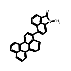 CN1C(=O)c2cccc3c(-c4ccc5c6cccc7cccc(c8cccc4c85)c76)ccc1c23